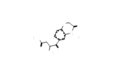 CC(CC(=O)O)C(=O)c1ccc2c(c1)N(C)C(=O)CO2